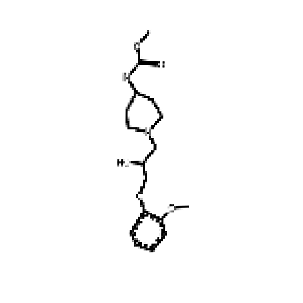 COC(=O)NC1CCN(CC(O)COc2ccccc2OC)CC1